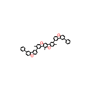 Cc1cc2oc3c(C)c4c(cc3c2cc1-c1ccc2oc3ccc(-c5ccccc5)cc3c2c1)oc1cc(C)c(-c2ccc3oc5ccc(-c6ccccc6)cc5c3c2)cc14